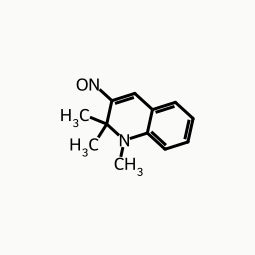 CN1c2ccccc2C=C(N=O)C1(C)C